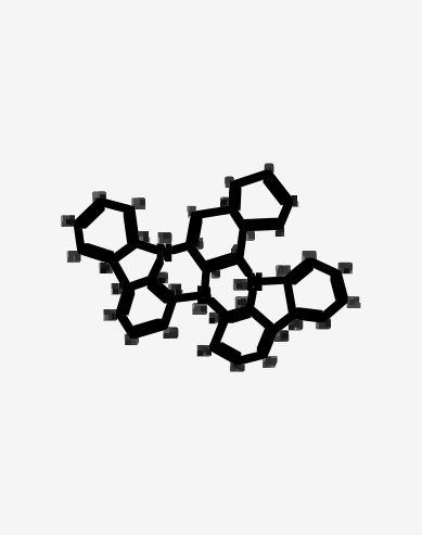 c1ccc2c3c4c(cc2c1)-n1c2ccccc2c2cccc(c21)B4c1cccc2c4ccccc4n-3c12